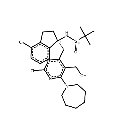 CC(C)(C)[S@@+]([O-])N[C@]1(Cc2nc(Cl)nc(N3CCCCCC3)c2CO)CCc2c(Cl)cccc21